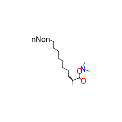 CCCCCCCCCCCCCCCCC=C(C)C(=O)ON(C)C